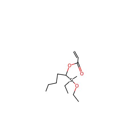 C=CC(=O)OC(CCCC)[Si](C)(CC)OCC